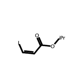 CC(C)OC(=O)/C=C\I